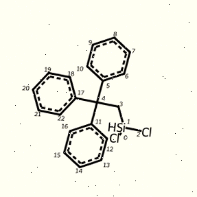 Cl[SiH](Cl)CC(c1ccccc1)(c1ccccc1)c1ccccc1